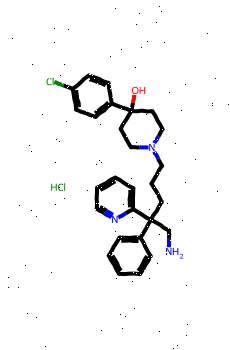 Cl.NCC(CCCN1CCC(O)(c2ccc(Cl)cc2)CC1)(c1ccccc1)c1ccccn1